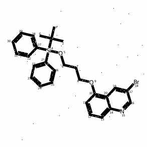 CC(C)(C)[Si](OCCCOc1cccc2ncc(Br)cc12)(c1ccccc1)c1ccccc1